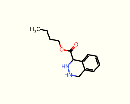 CCCCOC(=O)C1NNCc2ccccc21